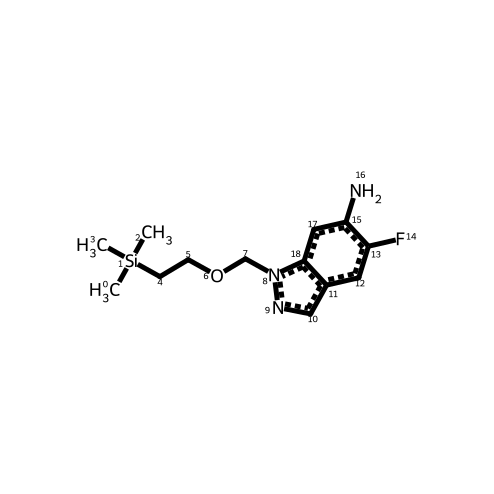 C[Si](C)(C)CCOCn1ncc2cc(F)c(N)cc21